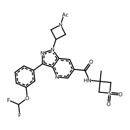 CC(=O)N1CC(n2nc(-c3cccc(OC(F)F)c3)c3ncc(C(=O)NC4(C)CS(=O)(=O)C4)cc32)C1